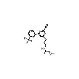 COCC(C)NCCCc1cc(-c2cccc(C(F)(F)F)c2)nc(C#N)n1